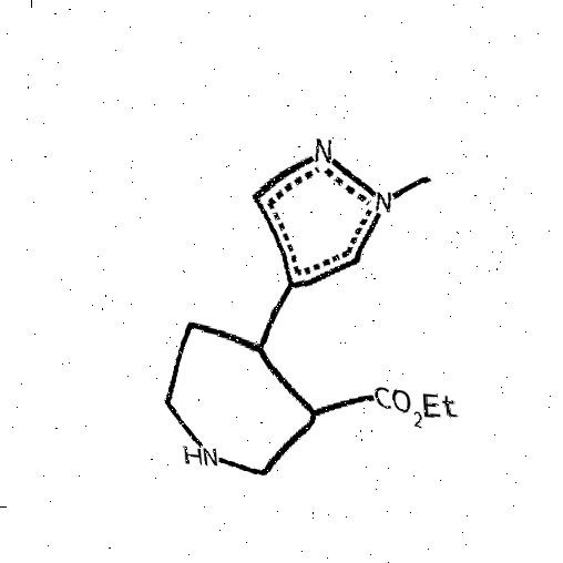 CCOC(=O)C1CNCCC1c1cnn(C)c1